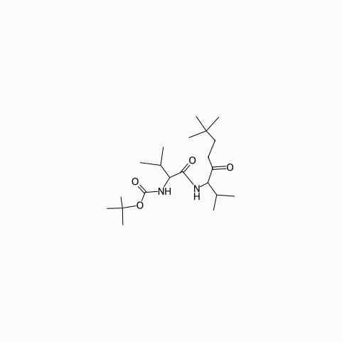 CC(C)C(NC(=O)C(NC(=O)OC(C)(C)C)C(C)C)C(=O)CCC(C)(C)C